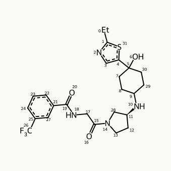 CCc1ncc(C2(O)CCC(N[C@H]3CCN(C(=O)CNC(=O)c4cccc(C(F)(F)F)c4)C3)CC2)s1